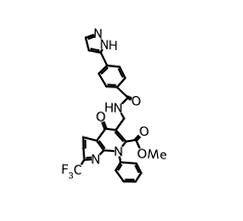 COC(=O)c1c(CNC(=O)c2ccc(-c3ccn[nH]3)cc2)c(=O)c2ccc(C(F)(F)F)nc2n1-c1ccccc1